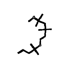 CCCC(C)(C)OCCC(C)(C)CC(C)(C)OC